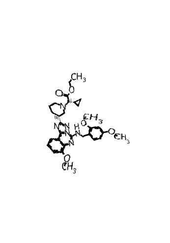 CCOC(=O)[C@H](C1CC1)N1CCC[C@@H](c2nc3c4cccc(OC)c4nc(NCc4ccc(OC)cc4OC)n3n2)C1